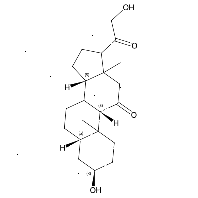 CC12CC(=O)[C@H]3C(CC[C@H]4C[C@H](O)CCC43C)[C@@H]1CCC2C(=O)CO